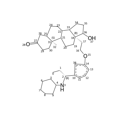 CC[C@@H](NC1CCCCC1)c1cccc(OCC[C@]23CCC4C(CCC5CC(=O)CC[C@@]54C)C2CCC3O)c1